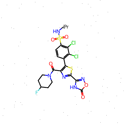 CC(C)NS(=O)(=O)c1ccc(-c2sc(-c3noc(=O)[nH]3)nc2C(=O)N2CCC(F)CC2)c(Cl)c1Cl